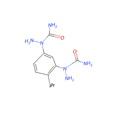 CC(C)c1ccc(N(N)C(N)=O)cc1N(N)C(N)=O